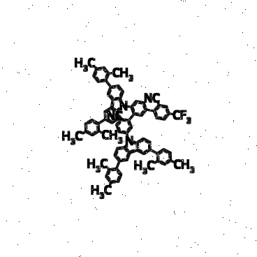 Cc1ccc(-c2ccc3c(c2)c2cc(-c4ccc(C)cc4C)ccc2n3-c2ccc(C#N)c(-c3cc(-c4ccc(C(F)(F)F)cc4C#N)ccc3-n3c4ccc(-c5ccc(C)cc5C)cc4c4cc(-c5ccc(C)cc5C)ccc43)c2)c(C)c1